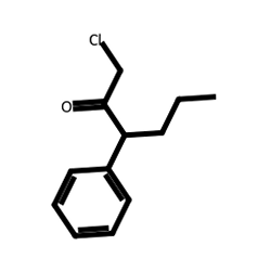 CCCC(C(=O)CCl)c1ccccc1